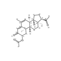 CC(=O)OC1C[C@@]2(C)C(=CC1=O)C(C)=C[C@H]1[C@@H]3CC[C@@H](C(C)=O)[C@@]3(C)CC[C@@H]12